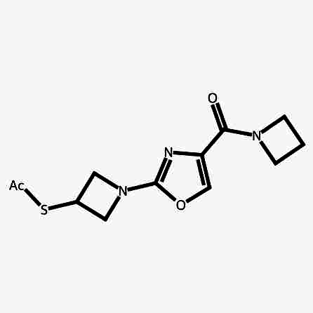 CC(=O)SC1CN(c2nc(C(=O)N3CCC3)co2)C1